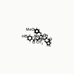 COc1ccc(C[C@H](NC(=O)[C@@H](C)NC(=O)[C@H]2CC[C@H](O)CC2)C(=O)N[C@@H](CC2CCCC2)C(=O)[C@H]2CO2)cc1